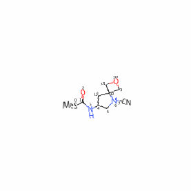 CSC(=O)NC1CN(C#N)C2(COC2)C1